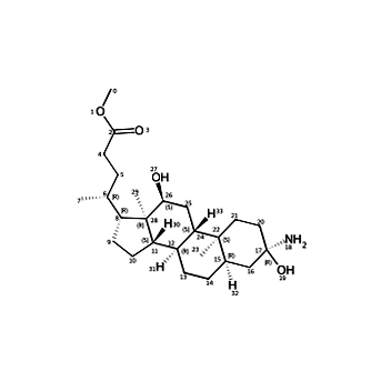 COC(=O)CC[C@@H](C)[C@H]1CC[C@H]2[C@@H]3CC[C@@H]4C[C@](N)(O)CC[C@]4(C)[C@H]3C[C@H](O)[C@]12C